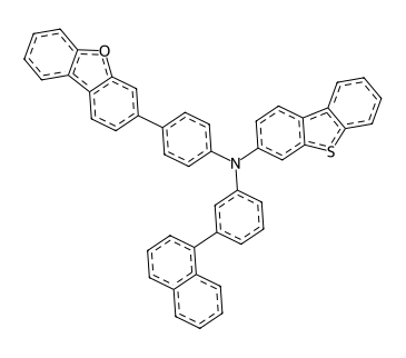 c1cc(-c2cccc3ccccc23)cc(N(c2ccc(-c3ccc4c(c3)oc3ccccc34)cc2)c2ccc3c(c2)sc2ccccc23)c1